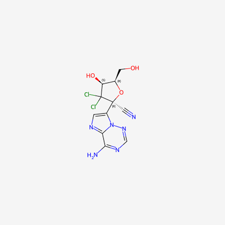 N#C[C@@]1(c2cnc3c(N)ncnn23)O[C@H](CO)[C@H](O)C1(Cl)Cl